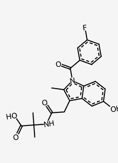 Cc1c(CC(=O)NC(C)(C)C(=O)O)c2cc(O)ccc2n1C(=O)c1cccc(F)c1